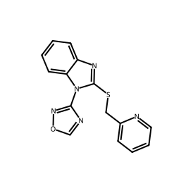 c1ccc(CSc2nc3ccccc3n2-c2ncon2)nc1